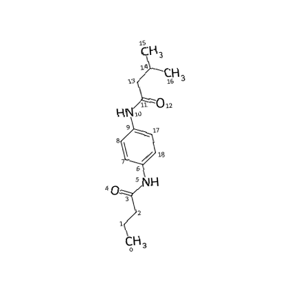 CCCC(=O)Nc1ccc(NC(=O)CC(C)C)cc1